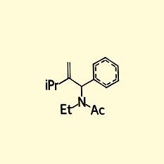 C=C(C(C)C)C(c1ccccc1)N(CC)C(C)=O